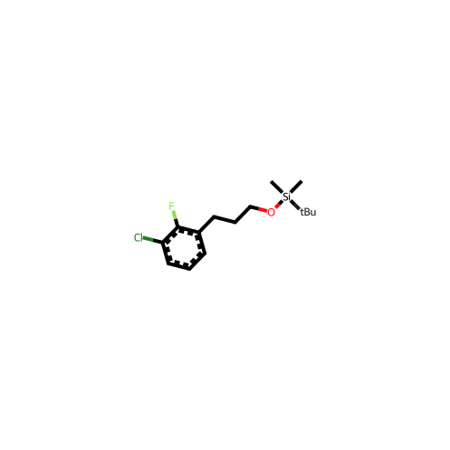 CC(C)(C)[Si](C)(C)OCCCc1cccc(Cl)c1F